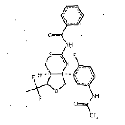 CC(F)(F)C1OC[C@]2(c3cc(NC(=O)C(F)(F)F)ccc3F)N=C(NC(=O)c3ccccc3)SC[C@H]12